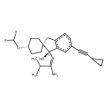 CN(C)/C(N)=N\[C@@]1(O)c2cc(C#CC3CC3)ccc2C[C@]12CC[C@@H](OC(F)F)CC2